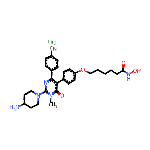 Cl.Cn1c(N2CCC(N)CC2)nc(-c2ccc(C#N)cc2)c(-c2ccc(OCCCCCC(=O)NO)cc2)c1=O